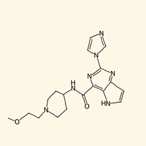 COCCN1CCC(NC(=O)c2nc(-n3ccnc3)nc3cc[nH]c23)CC1